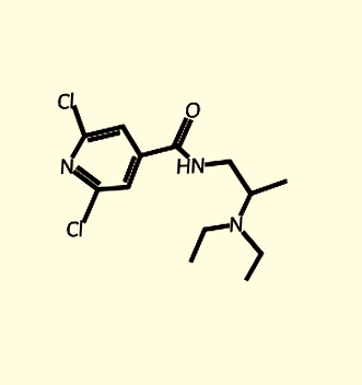 CCN(CC)C(C)CNC(=O)c1cc(Cl)nc(Cl)c1